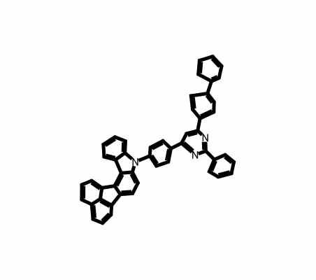 c1ccc(-c2ccc(-c3cc(-c4ccc(-n5c6ccccc6c6c7c(ccc65)-c5cccc6cccc-7c56)cc4)nc(-c4ccccc4)n3)cc2)cc1